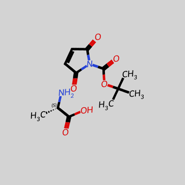 CC(C)(C)OC(=O)N1C(=O)C=CC1=O.C[C@H](N)C(=O)O